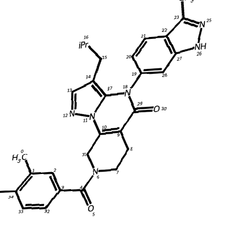 Cc1cc(C(=O)N2CCc3c(n4ncc(CC(C)C)c4n(-c4ccc5c(C)n[nH]c5c4)c3=O)C2)ccc1Br